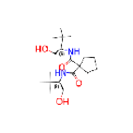 CC(C)(C)[C@H](CO)NC(=O)C1(C(=O)N[C@@H](CO)C(C)(C)C)CCCC1